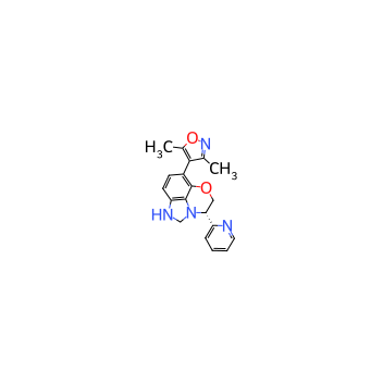 Cc1noc(C)c1-c1ccc2c3c1OC[C@H](c1ccccn1)N3CN2